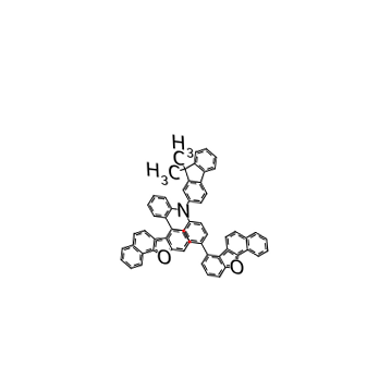 CC1(C)c2ccccc2-c2ccc(N(c3ccc(-c4cccc5oc6c7ccccc7ccc6c45)cc3)c3ccccc3-c3cccc4oc5c6ccccc6ccc5c34)cc21